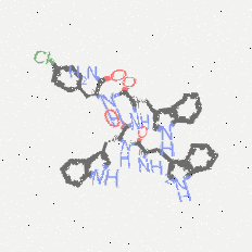 NC(=O)[C@H](Cc1ccc(Cl)cc1)NC(=O)[C@H](Cc1c[nH]c2ccccc12)NC(=O)[C@@H](Cc1c[nH]c2ccccc12)NC(=O)[C@H](N)Cc1c[nH]c2ccccc12